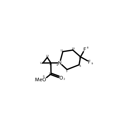 COC(=O)C1(N2CCC(F)(F)CC2)CC1